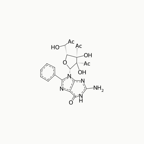 CC(=O)C(O)[C@H]1O[C@@H](n2c(-c3ccccc3)nc3c(=O)[nH]c(N)nc32)[C@@](O)(C(C)=O)[C@@]1(O)C(C)=O